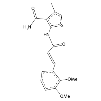 COc1cccc(/C=C/C(=O)Nc2scc(C)c2C(N)=O)c1OC